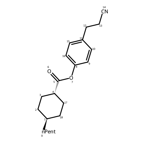 CCCCC[C@H]1CC[C@H](C(=O)Oc2ccc(CCC#N)cc2)CC1